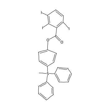 CS(c1ccccc1)(c1ccccc1)c1ccc(OC(=O)c2c(I)ccc(I)c2I)cc1